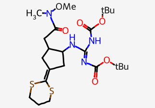 CON(C)C(=O)CC1CC(=C2SCCCS2)CC1NC(=NC(=O)OC(C)(C)C)NC(=O)OC(C)(C)C